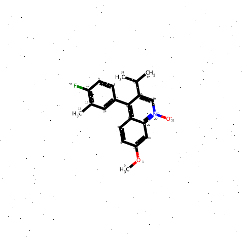 COc1ccc2c(-c3ccc(F)c(C)c3)c(C(C)C)c[n+]([O-])c2c1